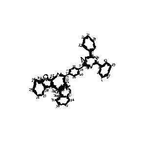 c1ccc(-c2nc(-c3ccccc3)nc(-c3ccc(-c4nc5oc6ccccc6c5c5c4sc4ccccc45)cc3)n2)cc1